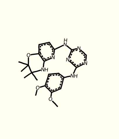 COc1ccc(Nc2ncnc(Nc3ccc4c(n3)NC(C)(C)C(C)(C)O4)n2)cc1OC